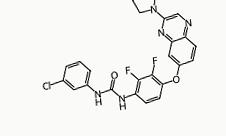 O=C(Nc1cccc(Cl)c1)Nc1ccc(Oc2ccc3ncc(N4CCCC4)nc3c2)c(F)c1F